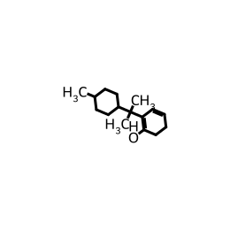 CC1CCC(C(C)(C)C2=C(O)CCC=C2)CC1